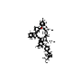 CNCC[C@H]1C(=O)N[C@@H](CO)C(=O)N[C@@]2(Cc3ccc(Cl)cc3)CCCN(C2)C(=O)[C@H](Cc2ccccc2)CC(=O)N1Cc1ccc(Cl)cc1Oc1ccc(-c2cnc(CN(C)C)n2C)cc1